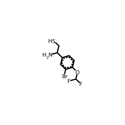 NC(CS)c1ccc(OC(F)F)c(Br)c1